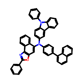 c1ccc(-c2nc3c(cc(N(c4ccc(-c5cccc6ccccc56)cc4)c4ccc5c(c4)c4ccccc4n5-c4ccccc4)c4ccccc43)o2)cc1